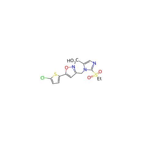 CCS(=O)(=O)c1ncc(C(=O)O)n1Cc1cc(-c2ccc(Cl)s2)on1